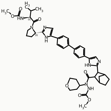 COC(=O)N[C@H](C(=O)N1CCC[C@H]1c1ncc(-c2ccc(-c3ccc(-c4cnc(C5C6CCC(C6)C5C(=O)N(NC(=O)OC)C5CCOCC5)[nH]4)cc3)cc2)[nH]1)C(C)C